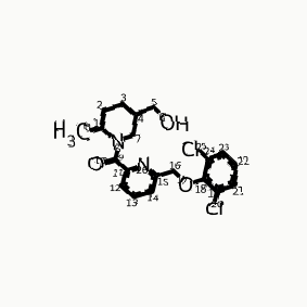 CC1CCC(CO)CN1C(=O)c1cccc(COc2c(Cl)cccc2Cl)n1